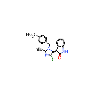 CCCCC1N=C(Cl)C(=C2C(=O)Nc3ccccc32)N1Cc1ccc(C(=O)O)cc1